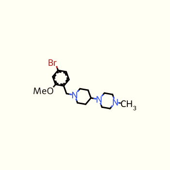 COc1cc(Br)ccc1CN1CCC(N2CCN(C)CC2)CC1